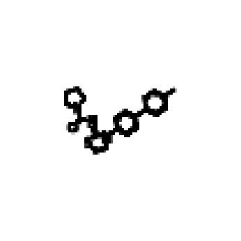 Cc1ccc(-c2ccc(-n3ccsc3=NC(=O)N3CCCC3)cc2)cc1